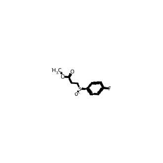 COC(=O)CC[S+]([O-])c1ccc(F)cc1